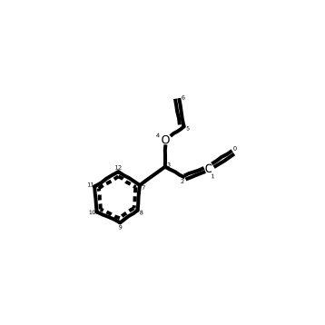 C=C=CC(OC=C)c1ccccc1